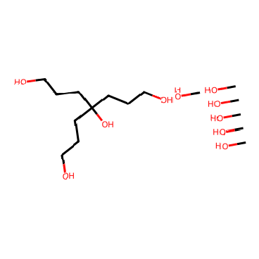 CO.CO.CO.CO.CO.CO.OCCCC(O)(CCCO)CCCO